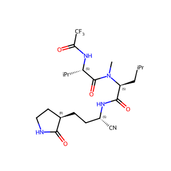 CC(C)C[C@@H](C(=O)N[C@H](C#N)CC[C@@H]1CCNC1=O)N(C)C(=O)[C@@H](NC(=O)C(F)(F)F)C(C)C